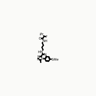 CSc1ccc2c(c1)nc(NCCCCNC(=O)C(F)C(C)C)c1nnc(C)n12